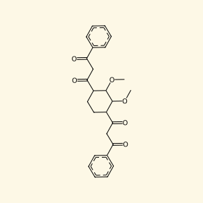 COC1C(C(=O)CC(=O)c2ccccc2)CCC(C(=O)CC(=O)c2ccccc2)C1OC